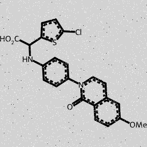 COc1ccc2c(=O)n(-c3ccc(NC(C(=O)O)c4ccc(Cl)s4)cc3)ccc2c1